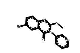 CSc1nc2ccc(Br)cc2c(=O)n1-c1cccnc1